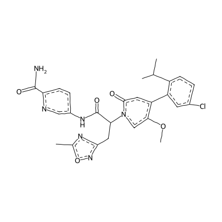 COc1cn(C(Cc2noc(C)n2)C(=O)Nc2ccc(C(N)=O)nc2)c(=O)cc1-c1cc(Cl)ccc1C(C)C